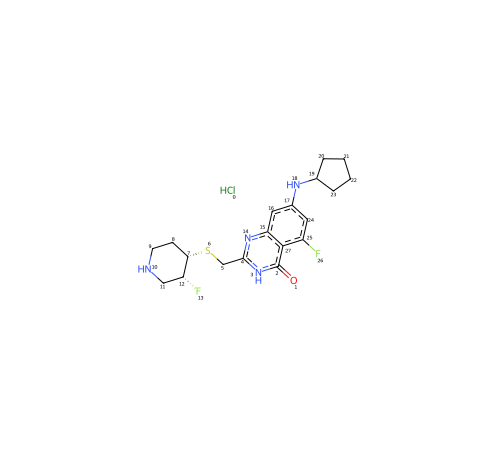 Cl.O=c1[nH]c(CS[C@H]2CCNC[C@H]2F)nc2cc(NC3CCCC3)cc(F)c12